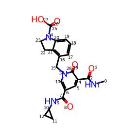 CNC(=O)c1cc(C(=O)NC2CC2)cn(Cc2cccc3c2CCN3C(=O)O)c1=O